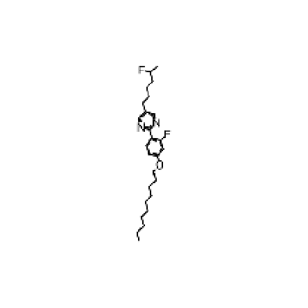 CCCCCCCCCCOc1ccc(-c2ncc(CCCCC(C)F)cn2)c(F)c1